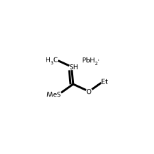 CCOC(SC)=[SH]C.[PbH2]